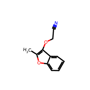 Cc1oc2ccccc2c1OCC#N